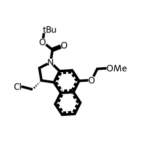 COCOc1cc2c(c3ccccc13)[C@H](CCl)CN2C(=O)OC(C)(C)C